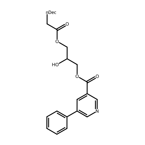 CCCCCCCCCCCC(=O)OCC(O)COC(=O)c1cncc(-c2ccccc2)c1